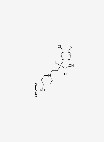 CS(=O)(=O)NC1CCN(CCC(F)(C(=O)O)c2ccc(Cl)c(Cl)c2)CC1